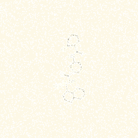 C[C@H](NC(=O)c1cccc(NC(=O)c2ccccc2Cl)c1)c1cccc2ccccc12